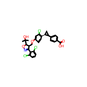 CC(C)(O)C1ON=C(c2c(Cl)cccc2Cl)C1COc1ccc([C@H]2CC2c2ccc(C(=O)O)cc2)c(Cl)c1